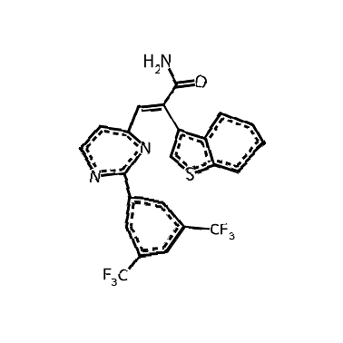 NC(=O)/C(=C/c1ccnc(-c2cc(C(F)(F)F)cc(C(F)(F)F)c2)n1)c1csc2ccccc12